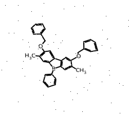 Cc1cc2c(cc1OCc1ccccc1)-c1cc(OCc3ccccc3)c(C)cc1B2c1ccccc1